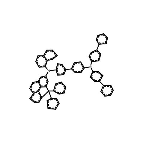 c1ccc(-c2ccc(N(c3ccc(-c4ccccc4)cc3)c3ccc(-c4ccc(N(c5cc6c7c(ccc8cccc(c87)C6(c6ccccc6)c6ccccc6)c5)c5cccc6ccccc56)cc4)cc3)cc2)cc1